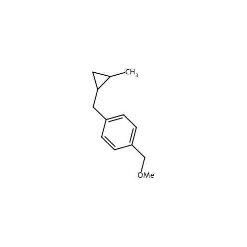 COCc1ccc(CC2CC2C)cc1